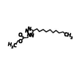 CCCCCCCCCCc1nnn(CC(=O)OCC)n1